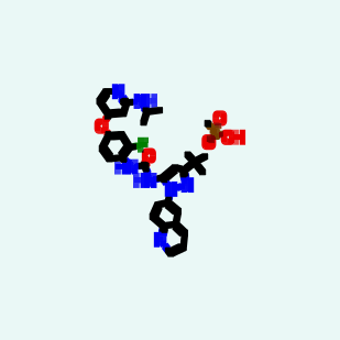 CC(C)Nc1cc(Oc2ccc(NC(=O)Nc3cc(C(C)(C)C)nn3-c3ccc4ncccc4c3)c(F)c2)ccn1.CS(=O)(=O)O